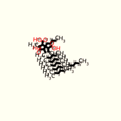 CCCCCC.CCCCCC.CCCCCC.CCCCCC.CCCCCC.CCCCCC.CCCCCC(C(CC)C(=O)O)(C(CC)C(=O)O)C(CC)C(=O)O